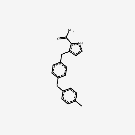 Cc1ccc(Oc2ccc(Cc3cn[nH]c3C(N)=O)cc2)cc1